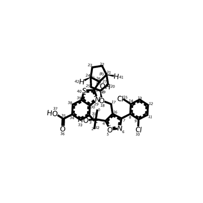 CC(C)(O)c1onc(-c2c(Cl)cccc2Cl)c1CO[C@@H]1C[C@H]2CC[C@@H](C1)[C@]2(O)c1nc2c(F)cc(C(=O)O)cc2s1